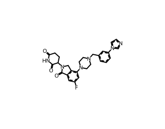 O=C1CCC(N2Cc3c(cc(F)cc3N3CCN(Cc4cccc(-n5ccnc5)c4)CC3)C2=O)C(=O)N1